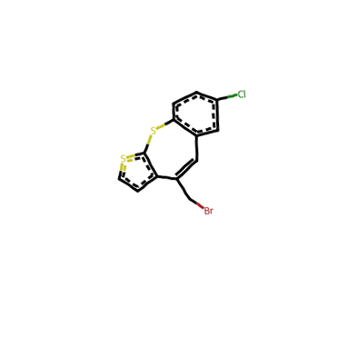 Clc1ccc2c(c1)C=C(CBr)c1ccsc1S2